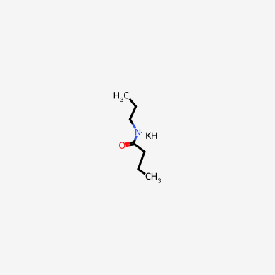 CCC[N]C(=O)CCC.[KH]